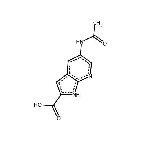 CC(=O)Nc1cnc2[nH]c(C(=O)O)cc2c1